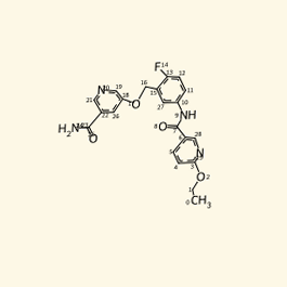 CCOc1ccc(C(=O)Nc2ccc(F)c(COc3cncc(C(N)=O)c3)c2)cn1